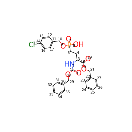 O=C(NC(CCP(=O)(O)OCc1ccc(Cl)cc1)C(=O)OCc1ccccc1)OCc1ccccc1